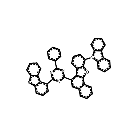 c1ccc(-c2nc(-c3cccc4sc5ccccc5c34)nc(-c3cc4ccccc4c4oc5c(-n6c7ccccc7c7ccccc76)cccc5c34)n2)cc1